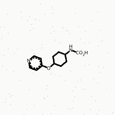 O=C(O)NC1CCC(Oc2ccncc2)CC1